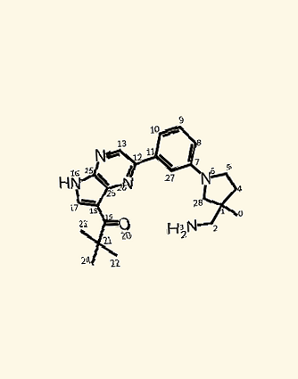 CC1(CN)CCN(c2cccc(-c3cnc4[nH]cc(C(=O)C(C)(C)C)c4n3)c2)C1